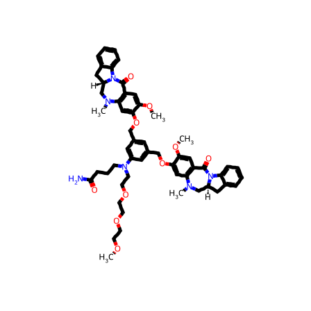 COCCOCCOCCN(CCCC(N)=O)c1cc(COc2cc3c(cc2OC)C(=O)N2c4ccccc4C[C@H]2CN3C)cc(COc2cc3c(cc2OC)C(=O)N2c4ccccc4C[C@H]2CN3C)c1